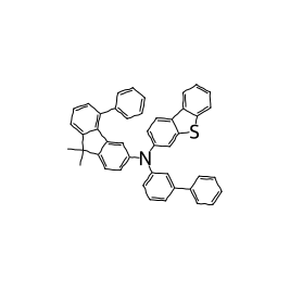 CC1(C)c2ccc(N(c3cccc(-c4ccccc4)c3)c3ccc4c(c3)sc3ccccc34)cc2-c2c(-c3ccccc3)cccc21